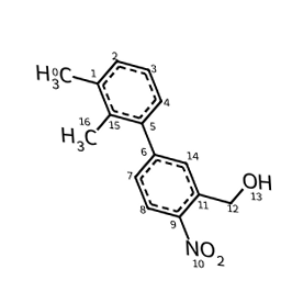 Cc1cccc(-c2ccc([N+](=O)[O-])c(CO)c2)c1C